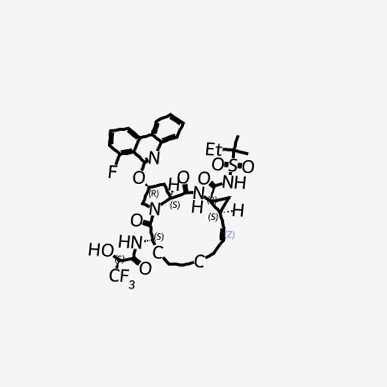 CCC(C)(C)S(=O)(=O)NC(=O)[C@@]12C[C@H]1/C=C\CCCCC[C@H](NC(=O)[C@H](O)C(F)(F)F)C(=O)N1C[C@H](Oc3nc4ccccc4c4cccc(F)c34)C[C@H]1C(=O)N2